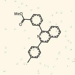 COC(=O)c1cccc(-c2nc(-c3ccc(C)cc3)cc3ccccc23)c1